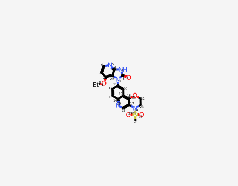 CCOc1ccnc2[nH]c(=O)n(-c3ccc4ncc5c(c4c3)OCCN5S(C)(=O)=O)c12